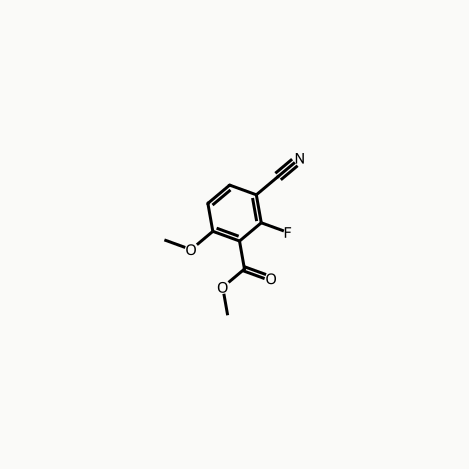 COC(=O)c1c(OC)ccc(C#N)c1F